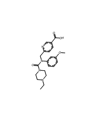 CCN1CCN(C(=O)N(Cc2ccc(C(=O)O)cn2)c2cccc(OC)c2)CC1